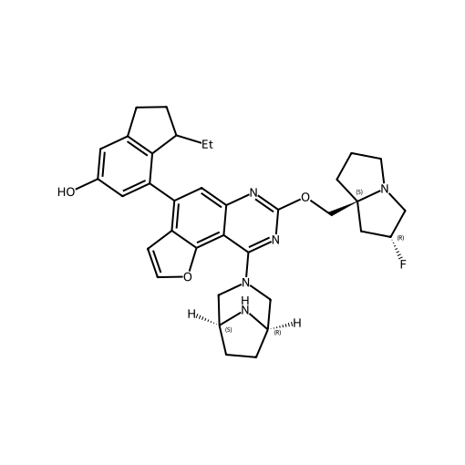 CCC1CCc2cc(O)cc(-c3cc4nc(OC[C@@]56CCCN5C[C@H](F)C6)nc(N5C[C@H]6CC[C@@H](C5)N6)c4c4occc34)c21